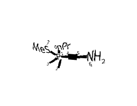 CCCP(C)(C)(C#CN)SC